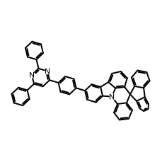 c1ccc(-c2cc(-c3ccc(-c4ccc5c(c4)c4cccc6c4n5-c4ccccc4C64c5ccccc5-c5ccccc54)cc3)nc(-c3ccccc3)n2)cc1